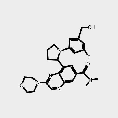 CN(C)C(=O)c1cc(C2CCCN2c2cc(F)cc(CO)c2)c2nc(N3CCOCC3)cnc2c1